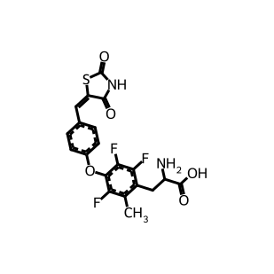 Cc1c(F)c(Oc2ccc(C=C3SC(=O)NC3=O)cc2)c(F)c(F)c1CC(N)C(=O)O